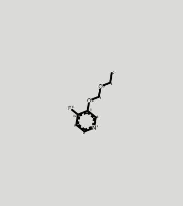 CCOCOc1cnccc1F